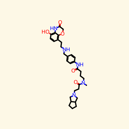 CN(CCCC(=O)Nc1ccc(CNCCc2ccc(O)c3c2OCC(=O)N3)cc1)C(=O)CCN1CC2CCCC2C1